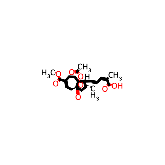 COC(=O)C1=CC[C@]23CC[C@H](C2(OC(C)=O)CC1)[C@@](C)(/C=C/C=C(/C)C(=O)O)OC3=O